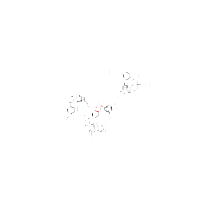 COc1ccc(C(C)(C)CC(C)(C)CC(C)(C)CCCC(C)CCOC(=O)c2cc(C(=O)OCCC(C)CCCC(C)(C)CC(C)(C)CC(C)(C)c3ccc(C)cc3)cc(C(=O)OCCC(C)CCCC(C)(C)CC(C)(C)CC(C)(C)c3ccc(OC)cc3)c2)cc1